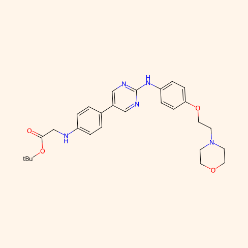 CC(C)(C)OC(=O)CNc1ccc(-c2cnc(Nc3ccc(OCCN4CCOCC4)cc3)nc2)cc1